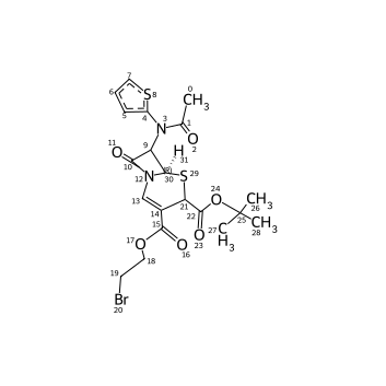 CC(=O)N(c1cccs1)C1C(=O)N2C=C(C(=O)OCCBr)C(C(=O)OC(C)(C)C)S[C@H]12